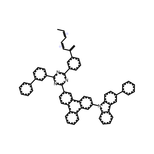 C=C(/C=C\C=C/C)c1cccc(-c2nc(-c3cccc(-c4ccccc4)c3)nc(-c3ccc4c5ccccc5c5cc(-n6c7ccccc7c7cc(-c8ccccc8)ccc76)ccc5c4c3)n2)c1